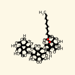 CCCCCCCCCCCCCC(C)COC(=O)c1c(C(=O)O)c(C(=O)O)c(C(=O)O)c(C(=O)OC(=O)c2c(C(=O)O)c(C(=O)O)c(C(=O)O)c(C(=O)O)c2C(=O)O)c1C(=O)OC(=O)c1c(C(=O)O)c(C(=O)O)c(C(=O)O)c(C(=O)O)c1C(=O)O